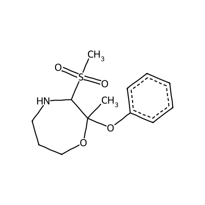 CC1(Oc2ccccc2)OCCCNC1S(C)(=O)=O